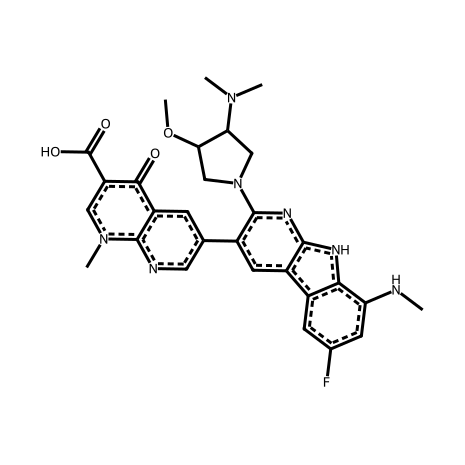 CNc1cc(F)cc2c1[nH]c1nc(N3CC(OC)C(N(C)C)C3)c(-c3cnc4c(c3)c(=O)c(C(=O)O)cn4C)cc12